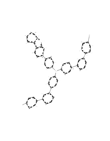 Cc1ccc(-c2cccc(-c3ccc(N(c4ccc(-c5cccc(-c6ccc(C)cc6)c5)cc4)c4ccc(-c5ccc6c(c5)oc5ccccc56)cc4)cc3)c2)cc1